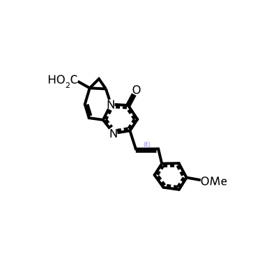 COc1cccc(/C=C/c2cc(=O)n3c(n2)C=CC2(C(=O)O)CC32)c1